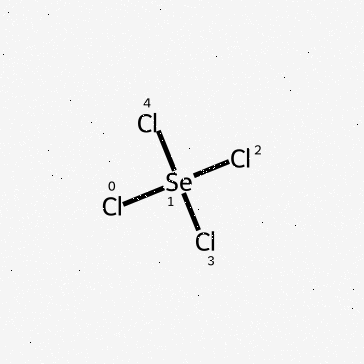 Cl[Se](Cl)(Cl)Cl